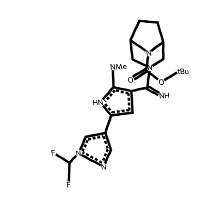 CNc1[nH]c(-c2cnn(C(F)F)c2)cc1C(=N)N1CC2CCC(C1)N2C(=O)OC(C)(C)C